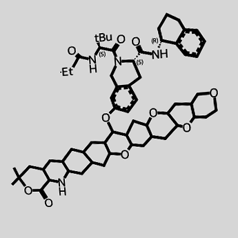 C[CH]C(=O)N[C@H](C(=O)N1Cc2cc(OC3C4CC5CC6CC7CC(C)(C)OC(=O)C7NC6CC5CC4OC4CC5CC6OC7CCOCC7CC6OC5CC43)ccc2C[C@H]1C(=O)N[C@@H]1CCCc2ccccc21)C(C)(C)C